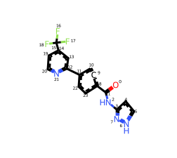 O=C(Nc1cc[nH]n1)c1ccc(-c2cc(C(F)(F)F)ccn2)cc1